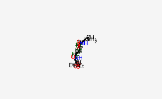 CCO[Si](CCCNC(=O)C(F)(F)CCC(F)(F)COC(F)(F)C(=O)NCCC[SiH2]C)(OCC)OCC